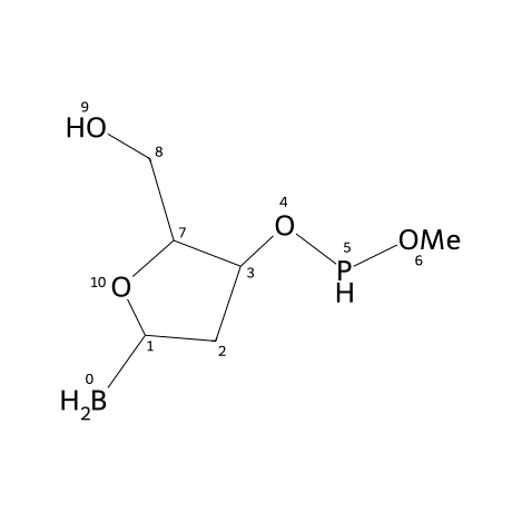 BC1CC(OPOC)C(CO)O1